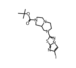 CC(C)(C)OC(=O)N1CCN2CCN(c3nn4cc(I)nc4s3)CC2C1